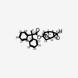 CC(C(=O)O[C@H]1CC2C3[C@@H]4O[C@]34C(C1)[N+]2(C)C)(c1ccccc1)c1ccccc1